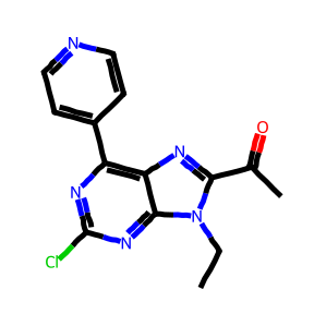 CCn1c(C(C)=O)nc2c(-c3ccncc3)nc(Cl)nc21